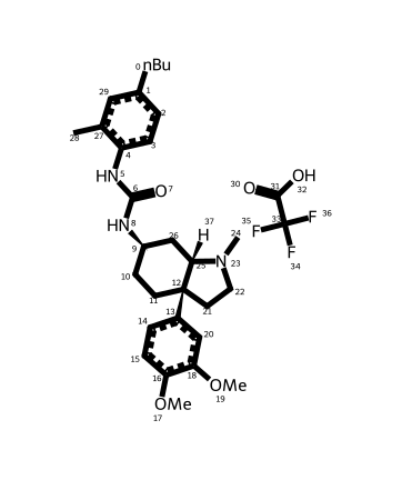 CCCCc1ccc(NC(=O)N[C@@H]2CC[C@@]3(c4ccc(OC)c(OC)c4)CCN(C)[C@H]3C2)c(C)c1.O=C(O)C(F)(F)F